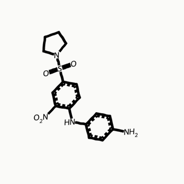 Nc1ccc(Nc2ccc(S(=O)(=O)N3CCCC3)cc2[N+](=O)[O-])cc1